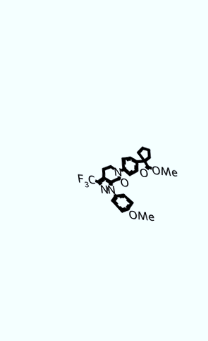 COC(=O)C1(c2ccc(N3CCc4c(C(F)(F)F)nn(-c5ccc(OC)cc5)c4C3=O)cc2)CCCC1